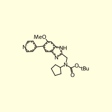 COc1cc2[nH]c(CN(C(=O)OC(C)(C)C)C3CCCC3)nc2cc1-c1ccncc1